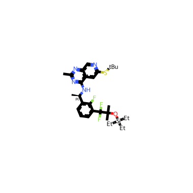 CC[Si](CC)(CC)OC(C)(C)C(F)(F)c1cccc([C@@H](C)Nc2nc(C)nc3cnc(SC(C)(C)C)cc23)c1F